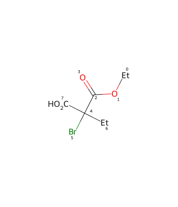 CCOC(=O)C(Br)(CC)C(=O)O